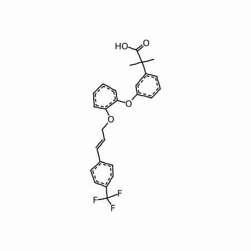 CC(C)(C(=O)O)c1cccc(Oc2ccccc2OCC=Cc2ccc(C(F)(F)F)cc2)c1